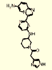 Nc1ccc2ncc(-c3nccc(NC4CCCN(C(=O)Cc5c[nH]cn5)C4)n3)n2c1